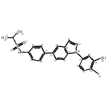 CC(C)S(=O)(=O)Nc1ccc(-c2ccc3c(cnn3-c3ccc(F)c(O)c3)c2)cc1